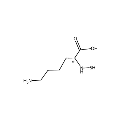 NCCCC[C@@H](NS)C(=O)O